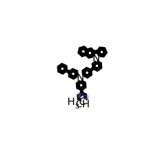 C#C/C=C(\C=C/C)c1ccc(N(c2ccc(-c3ccccc3)cc2)c2ccc(-c3cccc(-n4c5ccccc5c5cc6ccccc6cc54)c3)cc2)cc1